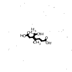 C/C(CCC(=O)O)=C(\CC(=O)O)C(C)O